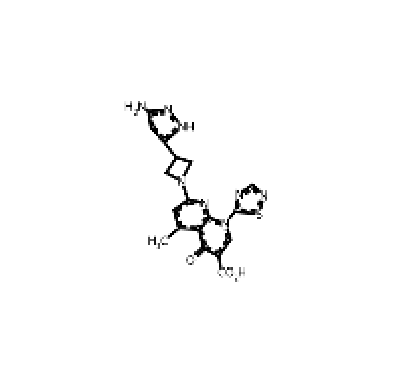 Cc1cc(N2CC(c3cc(N)n[nH]3)C2)nc2c1c(=O)c(C(=O)O)cn2-c1ncns1